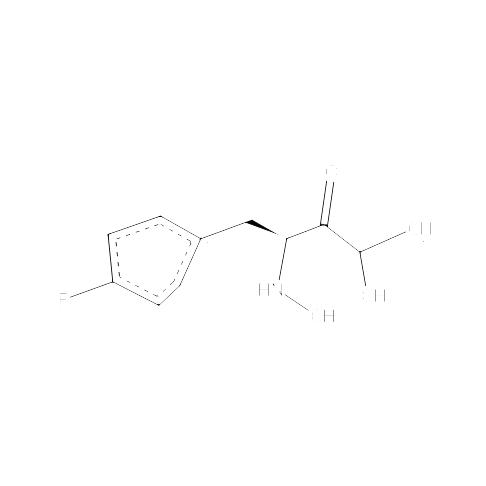 CN[C@@H](Cc1ccc(F)cc1)C(=O)C(C)C